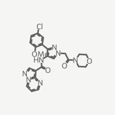 COc1ccc(Cl)cc1-c1nn(CC(=O)N2CCOCC2)cc1NC(=O)c1cnn2cccnc12